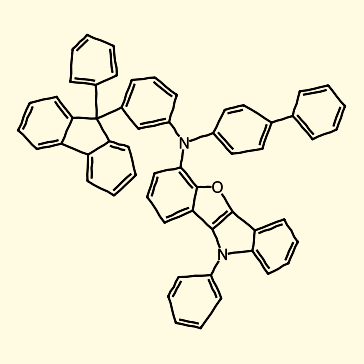 c1ccc(-c2ccc(N(c3cccc(C4(c5ccccc5)c5ccccc5-c5ccccc54)c3)c3cccc4c3oc3c5ccccc5n(-c5ccccc5)c43)cc2)cc1